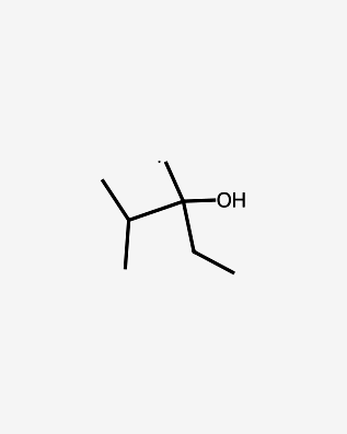 [CH2]C(O)(CC)C(C)C